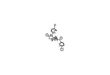 O=C(NN=C1SCC(=O)N1c1ccc(F)cc1)c1ccc(Cl)s1